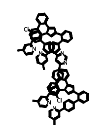 Cc1ccnc(-c2ccc(-c3ccccc3C3=CC(c4cc(Cl)ccc4-c4ccc(-c5cc(-c6ccc(C7=CC=C(Cl)C7C7C=C(c8ccccc8-c8ccc(-c9cc(C)ccn9)cc8)C=C7c7ccccc7-c7ccc(-c8cc(C)ccn8)cc7)cc6)ncn5)cc4)C(c4ccccc4-c4ccc(-c5cc(C)ccn5)cc4)=C3)cc2)c1